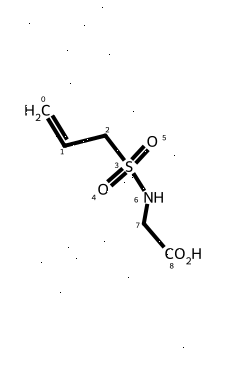 C=CCS(=O)(=O)NCC(=O)O